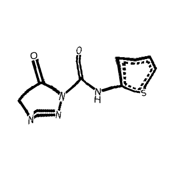 O=C1CN=NN1C(=O)Nc1cccs1